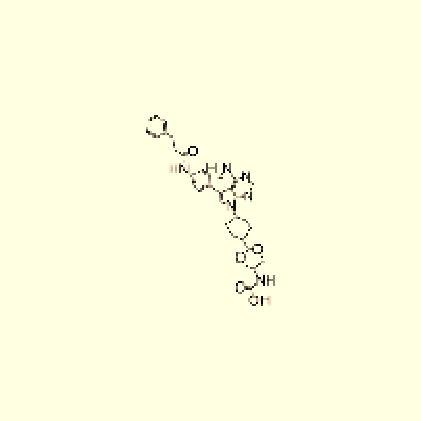 Nc1ncnc2c1c(-c1ccc(NC(=O)CCc3ccccc3)cc1)cn2C1CCC(C2OCC(NC(=O)O)CO2)CC1